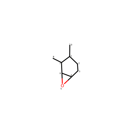 [CH2]C1CCC2OC2C1C